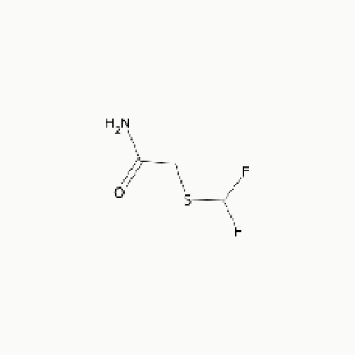 NC(=O)CSC(F)F